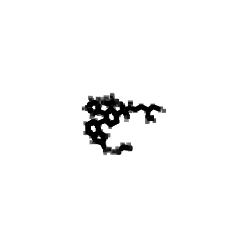 Nc1nc2c(-c3ccc(S(=O)(=O)NCCC(N)CF)c(S(N)(=O)=O)c3-c3nnn[nH]3)cccc2s1.O=CO